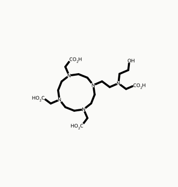 O=C(O)CN(CCO)CCN1CCN(CC(=O)O)CCN(CC(=O)O)CCN(CC(=O)O)CC1